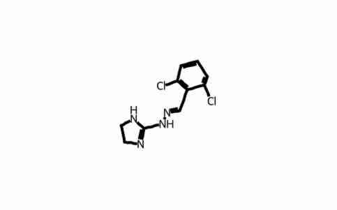 Clc1cccc(Cl)c1/C=N/NC1=NCCN1